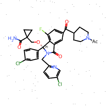 CC(=O)N1CCC(C(=O)c2cc(F)c3c(c2)C(=O)N(Cc2ccc(Cl)cn2)[C@@]3(OCC2(C(N)=O)CC2)c2ccc(Cl)cc2)CC1